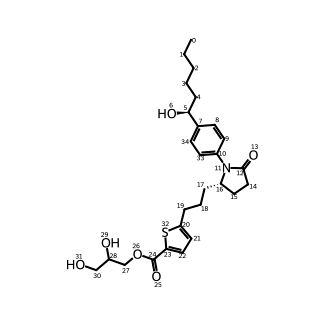 CCCCC[C@H](O)c1ccc(N2C(=O)CC[C@@H]2CCCc2ccc(C(=O)OCC(O)CO)s2)cc1